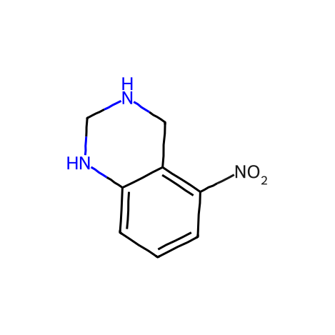 O=[N+]([O-])c1cccc2c1CNCN2